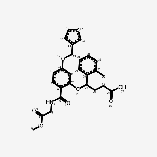 COC(=O)CNC(=O)c1ccc(OCc2ccsc2)cc1OC(CCC(=O)O)c1ccccc1C